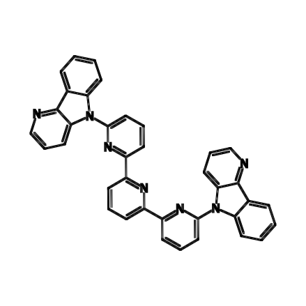 c1cc(-c2cccc(-n3c4ccccc4c4ncccc43)n2)nc(-c2cccc(-n3c4ccccc4c4ncccc43)n2)c1